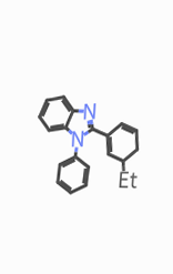 CCC1C=C(c2nc3ccccc3n2-c2ccccc2)C=CC1